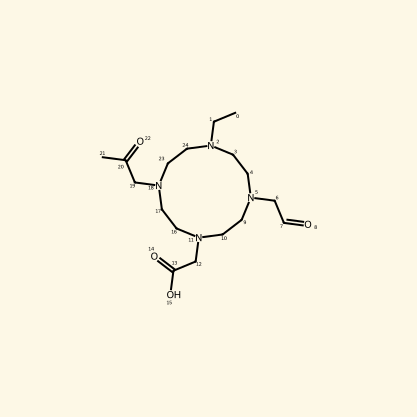 CCN1CCN(CC=O)CCN(CC(=O)O)CCN(CC(C)=O)CC1